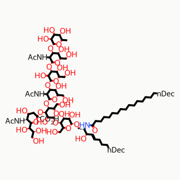 CCCCCCCCCCCCC/C=C/[C@@H](O)[C@H](CO[C@@H]1OC(CO)[C@@H](O[C@@H]2OC(CO)[C@H](O[C@@H]3OC(CO)[C@H](O)[C@H](O[C@@H]4OC(CO)[C@H](O)[C@H](O[C@@H]5OC(CO)[C@H](O)[C@H](O[C@H]6OC(C)[C@@H](O)C(O)[C@@H]6O)C5NC(C)=O)C4O)C3NC(C)=O)[C@H](O[C@]3(C(=O)O)CC(O)[C@@H](NC(C)=O)C([C@H](O)[C@H](O)CO)O3)C2O)[C@H](O)C1O)NC(=O)CCCCCCCCCCCCCCCCCCCCCCCCC